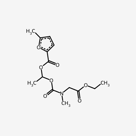 CCOC(=O)CN(C)C(=O)OC(C)OC(=O)c1ccc(C)o1